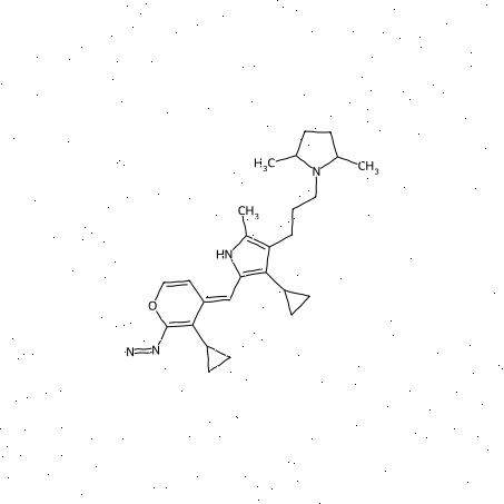 Cc1[nH]c(C=C2C=COC(N=[N])=C2C2CC2)c(C2CC2)c1CCCN1C(C)CCC1C